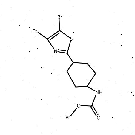 CCc1nc(C2CCC(NC(=O)OC(C)C)CC2)sc1Br